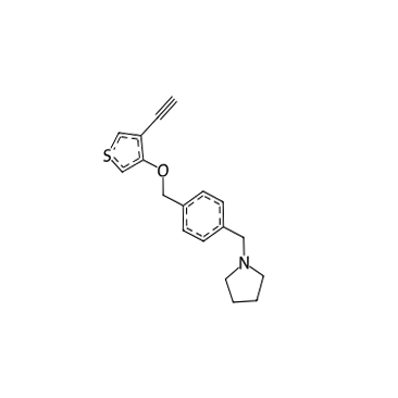 C#Cc1cscc1OCc1ccc(CN2CCCC2)cc1